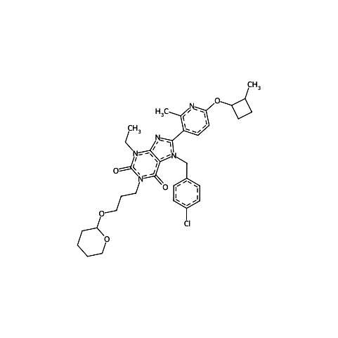 CCn1c(=O)n(CCCOC2CCCCO2)c(=O)c2c1nc(-c1ccc(OC3CCC3C)nc1C)n2Cc1ccc(Cl)cc1